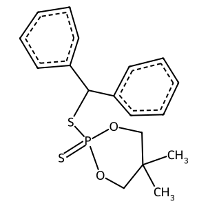 CC1(C)COP(=S)(SC(c2ccccc2)c2ccccc2)OC1